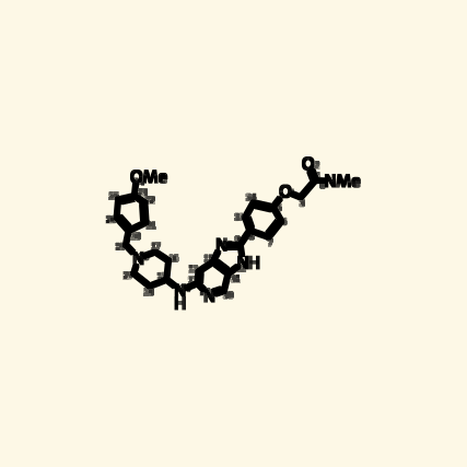 CNC(=O)COc1ccc(-c2nc3cc(NC4CCN(Cc5ccc(OC)cc5)CC4)ncc3[nH]2)cc1